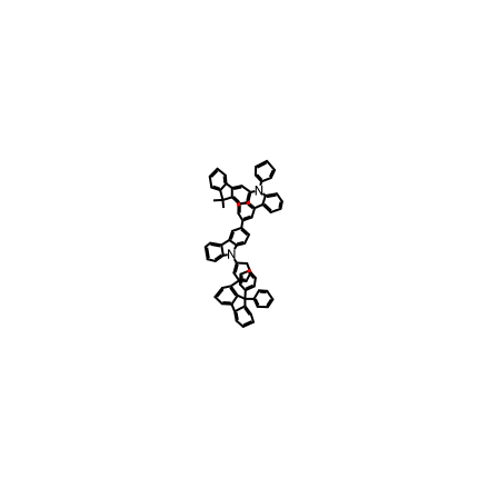 CC1(C)c2ccccc2-c2cc(N(c3ccccc3)c3ccccc3-c3cccc(-c4ccc5c(c4)c4ccccc4n5C4=CC(c5cccc6c5C(c5ccccc5)(c5ccccc5)c5ccccc5-6)=CCC4)c3)ccc21